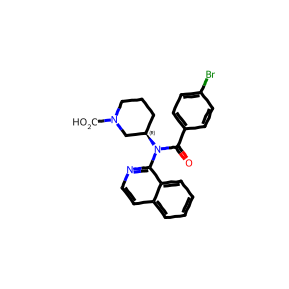 O=C(O)N1CCC[C@@H](N(C(=O)c2ccc(Br)cc2)c2nccc3ccccc23)C1